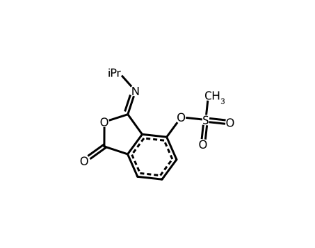 CC(C)N=C1OC(=O)c2cccc(OS(C)(=O)=O)c21